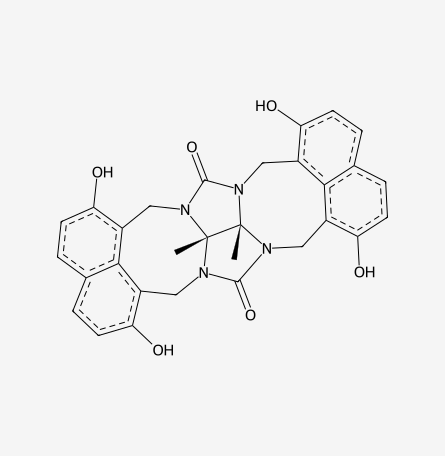 C[C@]12N3Cc4c(O)ccc5ccc(O)c(c45)CN1C(=O)N1Cc4c(O)ccc5ccc(O)c(c45)CN(C3=O)[C@]12C